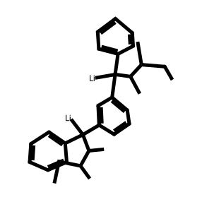 [Li][C](c1ccccc1)(c1cccc([C]([Li])(c2ccccc2)C(C)C(C)CC)c1)C(C)C(C)CC